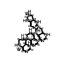 C1=NC=C2NCNCC2N1.C1=NC=C2NCNCC2N1.C1=NC=C2NCNCC2N1.C1=NC=C2NCNCC2N1.[W].[W]